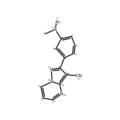 CC(=O)N(C)c1cccc(-c2nn3cccnc3c2C#N)c1